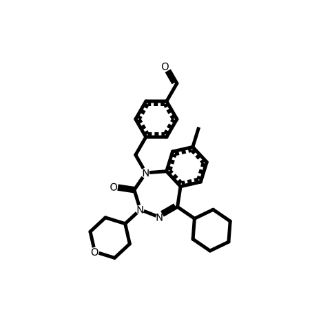 Cc1ccc2c(c1)N(Cc1ccc(C=O)cc1)C(=O)N(C1CCOCC1)N=C2C1CCCCC1